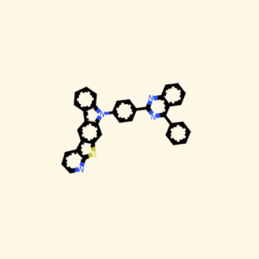 c1ccc(-c2nc(-c3ccc(-n4c5ccccc5c5cc6c(cc54)sc4ncccc46)cc3)nc3ccccc23)cc1